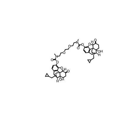 CN(CCOCCOCCN(C)C(=O)Oc1ccc2c3c1O[C@@H]1C(=O)CC[C@]4(O)[C@H](C2)N(CC2CC2)CC[C@@]314)C(=O)Oc1ccc2c3c1O[C@@H]1C(=O)CC[C@]4(O)[C@H](C2)N(CC2CC2)CC[C@@]314